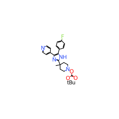 CC(C)(C)OC(=O)ON1CCC(C)(c2nc(-c3ccncc3)c(-c3ccc(F)cc3)[nH]2)CC1